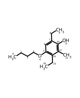 CCCCOc1cc(CC)c(O)c(C)c1CC